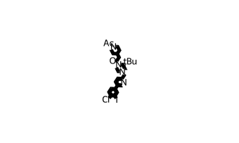 CC(=O)N1CCC(CC(=O)N2CCN(Cc3ccc(-c4ccc(Cl)c(I)c4)cn3)C[C@@H]2C(C)(C)C)CC1